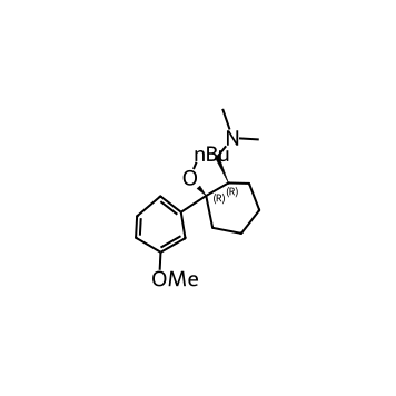 CCCCO[C@]1(c2cccc(OC)c2)CCCC[C@@H]1CN(C)C